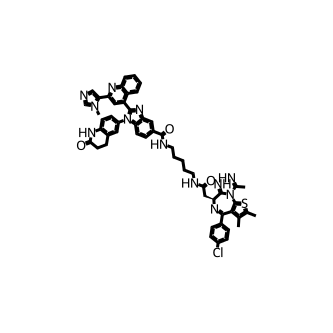 CC(=N)N1C(=N)[C@H](CC(=O)NCCCCCNC(=O)c2ccc3c(c2)nc(-c2cc(-c4cncn4C)nc4ccccc24)n3-c2ccc3c(c2)CCC(=O)N3)N=C(c2ccc(Cl)cc2)c2c1sc(C)c2C